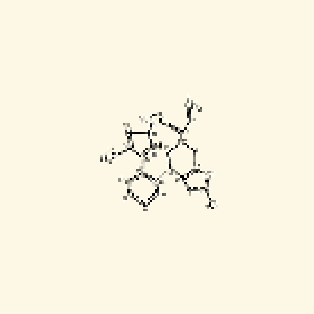 C=CC(=O)N1Cc2sc(Cl)cc2[C@H](c2ccccc2C2=[SH]C(C)N=C2C)C1